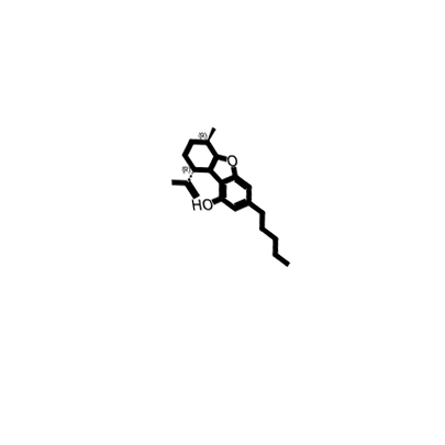 C=C(C)[C@@H]1CC[C@@H](C)C2Oc3cc(CCCCC)cc(O)c3C21